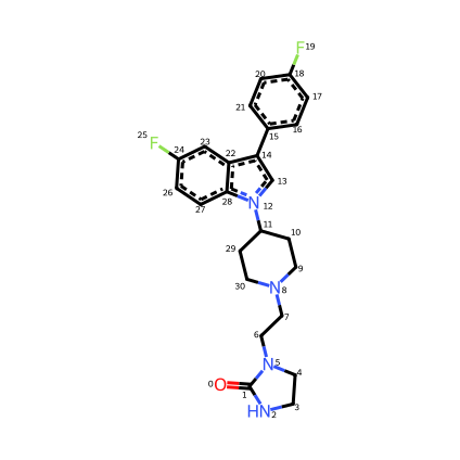 O=C1NCCN1CCN1CCC(n2cc(-c3ccc(F)cc3)c3cc(F)ccc32)CC1